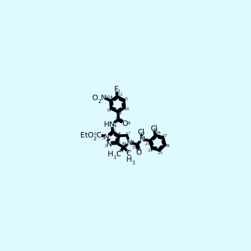 CCOC(=O)n1nc2c(c1NC(=O)c1ccc(F)c([N+](=O)[O-])c1)CN(C(=O)N(Cl)c1ccccc1Cl)C2(C)C